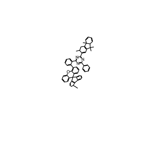 CC1CC2=C(C=C1c1nc(-c3ccccc3)nc(-c3ccccc3-c3cccc4c3Oc3ccccc3C43C4=C(c5ccccc53)C(C)CC=C4)n1)C(C)(C)C1C=CC=CC21C